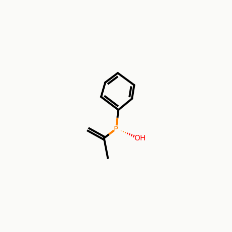 C=C(C)[P@@](O)c1ccccc1